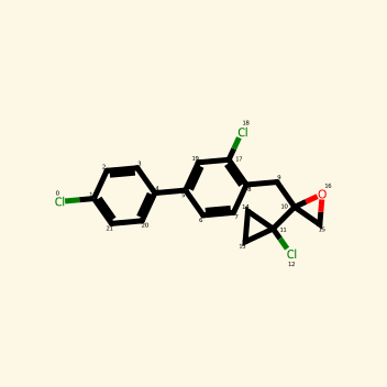 Clc1ccc(-c2ccc(CC3(C4(Cl)CC4)CO3)c(Cl)c2)cc1